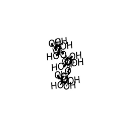 OCC1O[C@H](COC[C@]2(CO)O[C@H](CO)[C@H](O)C2O)C(O)[C@H](O)[C@@H]1COC[C@@H]1OC(CO)[C@H](O)[C@@H](O)C1O